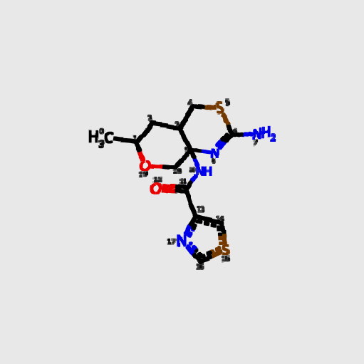 CC1CC2CSC(N)=NC2(NC(=O)c2cscn2)CO1